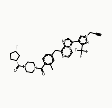 C#CCn1cc(-c2cnc3c(Cc4ccc(C(=O)N5CCN(C(=O)[C@@H]6CC[C@H](C)C6)CC5)c(C)c4)nccn23)c(C(F)(F)F)n1